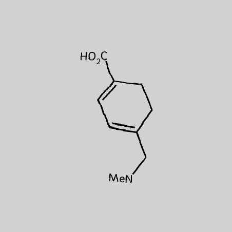 CNCC1=CC=C(C(=O)O)CC1